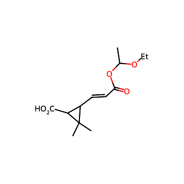 CCOC(C)OC(=O)C=CC1C(C(=O)O)C1(C)C